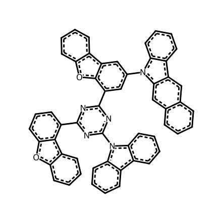 c1ccc2cc3c(cc2c1)c1ccccc1n3-c1cc(-c2nc(-c3cccc4oc5ccccc5c34)nc(-n3c4ccccc4c4ccccc43)n2)c2oc3ccccc3c2c1